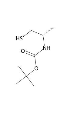 C[C@@H](CS)NC(=O)OC(C)(C)C